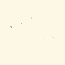 O=C(O)c1cc(COC2CCCCO2)ccc1COC1CCCCO1